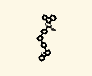 CC(C)(C)c1nc2c3ccccc3c3ccccc3c2nc1-c1ccc(-c2cccc(-c3ccc(-c4cccc5c4oc4ccccc45)cc3)c2)cc1